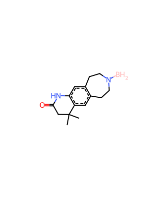 BN1CCc2cc3c(cc2CC1)C(C)(C)CC(=O)N3